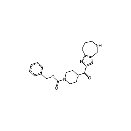 O=C(OCc1ccccc1)N1CCN(C(=O)n2cc3c(n2)CCCNC3)CC1